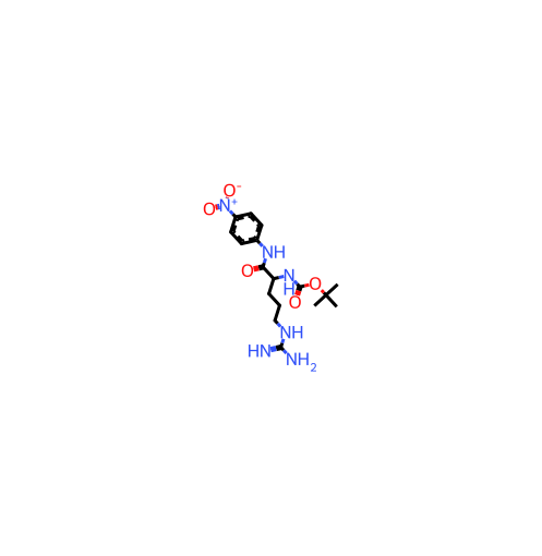 CC(C)(C)OC(=O)NC(CCCNC(=N)N)C(=O)Nc1ccc([N+](=O)[O-])cc1